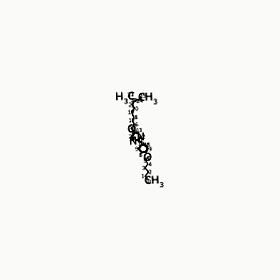 CCCCCCOc1ccc(-c2ncc(OCCCCCCC(C)CC)cn2)cc1